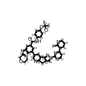 C[C@@H]1COCc2nc3cc(C(=O)Nc4ccc(OC(F)(F)Cl)cc4)cc(-c4cnc5c(c4)-c4nn(-c6nccc(-c7cccnc7F)n6)cc4C5)c3n21